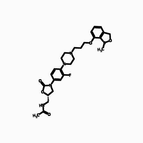 CB1OCc2cccc(OCCCN3CCN(c4ccc(N5C[C@H](CNC(C)=O)OC5=O)cc4F)CC3)c21